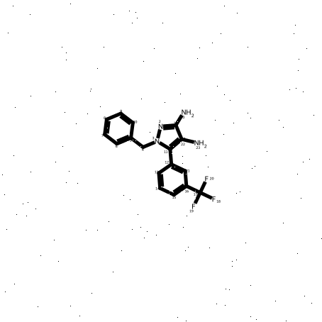 Nc1nn(Cc2ccccc2)c(-c2cccc(C(F)(F)F)c2)c1N